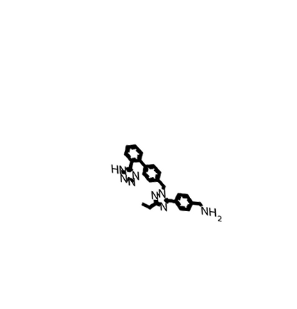 CCc1nc(-c2ccc(CN)cc2)n(Cc2ccc(-c3ccccc3-c3nnn[nH]3)cc2)n1